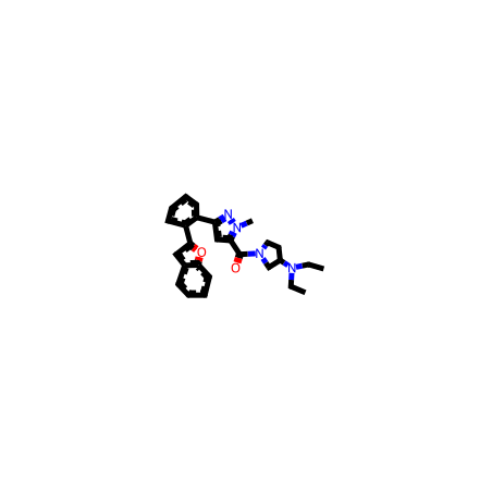 CCN(CC)C1CCN(C(=O)c2cc(-c3ccccc3-c3cc4ccccc4o3)nn2C)C1